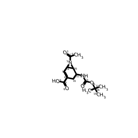 CC(=O)N1C2C=C(C(=O)O)CC(NC(=O)OC(C)(C)C)C21